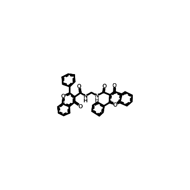 O=C(NCNC(=O)c1c(-c2ccccc2)oc2ccccc2c1=O)c1c(-c2ccccc2)oc2ccccc2c1=O